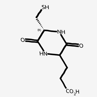 O=C(O)CCC1NC(=O)[C@H](CS)NC1=O